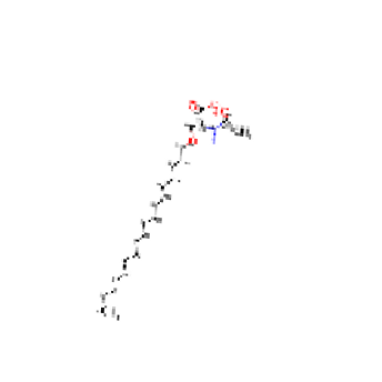 CCCCCCCCCCCCCCCCCCOC[C@H](NC(C)=O)C(=O)O